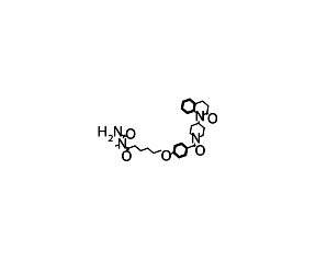 CN(C(N)=O)C(=O)CCCCCOc1ccc(C(=O)N2CCC(N3C(=O)CCc4ccccc43)CC2)cc1